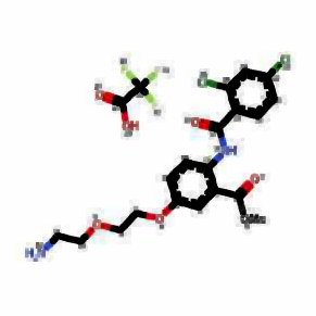 COC(=O)c1cc(OCCOCCN)ccc1NC(=O)c1ccc(Cl)cc1Cl.O=C(O)C(F)(F)F